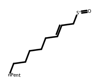 CCCCCCCCCCC=CC[S+]=O